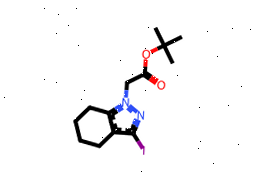 CC(C)(C)OC(=O)Cn1nc(I)c2c1CCCC2